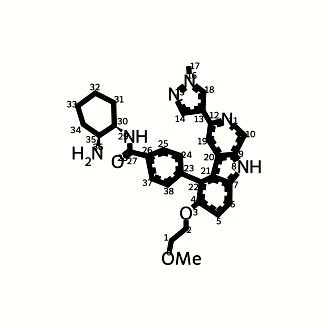 COCCOc1ccc2[nH]c3cnc(-c4cnn(C)c4)cc3c2c1-c1ccc(C(=O)N[C@H]2CCCC[C@@H]2N)cc1